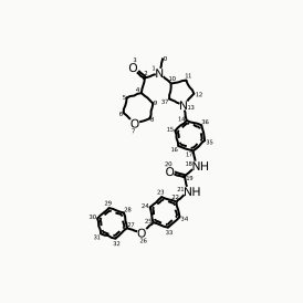 CN(C(=O)C1CCOCC1)C1CCN(c2ccc(NC(=O)Nc3ccc(Oc4ccccc4)cc3)cc2)C1